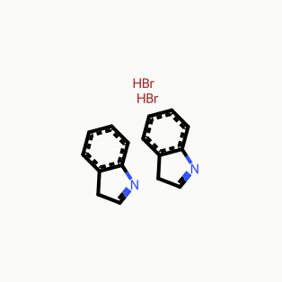 Br.Br.C1=Nc2ccccc2C1.C1=Nc2ccccc2C1